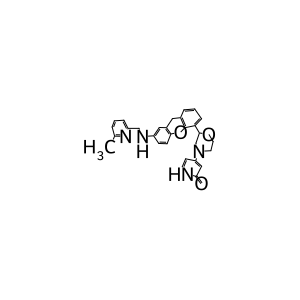 Cc1cccc(CNc2ccc3c(c2)Cc2cccc(C4CN(c5cc[nH]c(=O)c5)CCO4)c2O3)n1